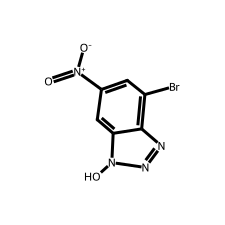 O=[N+]([O-])c1cc(Br)c2nnn(O)c2c1